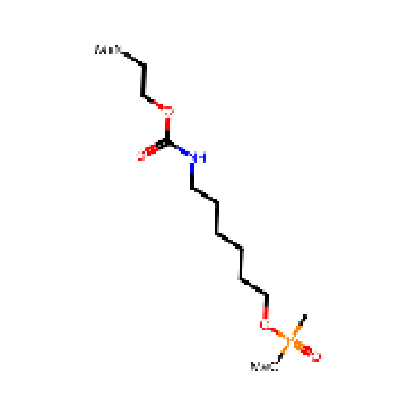 CNCCOC(=O)NCCCCCCOP(C)(=O)OC